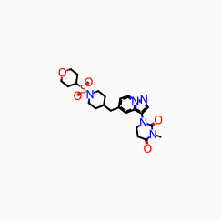 CN1C(=O)CCN(c2cnn3ccc(CC4CCN(S(=O)(=O)C5CCOCC5)CC4)cc23)C1=O